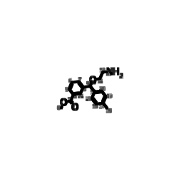 COC(=O)c1cccc(C(OCCN)c2ccc(C)cc2)c1